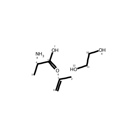 C=CC.CCC(=O)O.N.OCCO